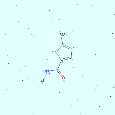 CCNC(=O)c1ccc(SC)s1